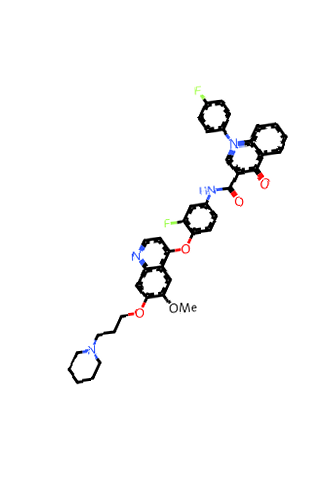 COc1cc2c(Oc3ccc(NC(=O)c4cn(-c5ccc(F)cc5)c5ccccc5c4=O)cc3F)ccnc2cc1OCCCN1CCCCC1